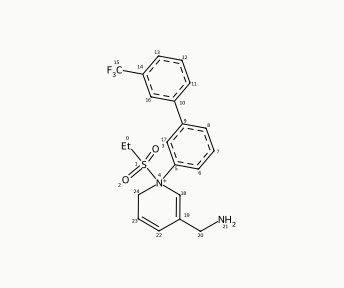 CCS(=O)(=O)[N+]1(c2cccc(-c3cccc(C(F)(F)F)c3)c2)C=C(CN)C=CC1